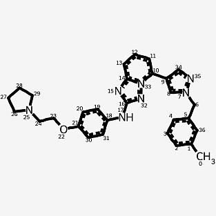 Cc1cccc(Cn2cc(-c3cccc4nc(Nc5ccc(OCCN6CCCC6)cc5)nn34)cn2)c1